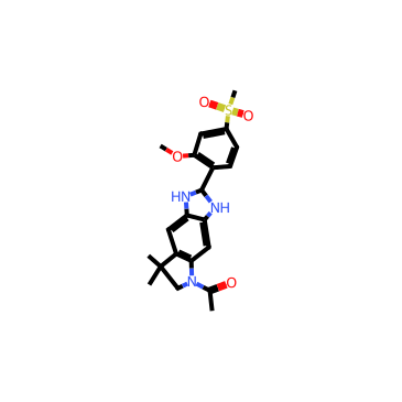 COc1cc(S(C)(=O)=O)ccc1C1Nc2cc3c(cc2N1)C(C)(C)CN3C(C)=O